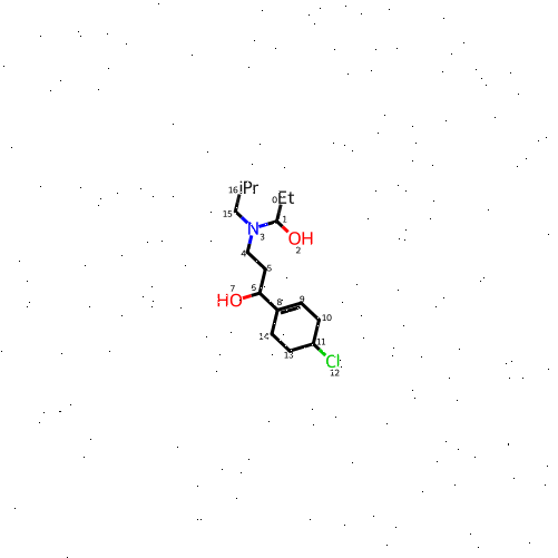 CCC(O)N(CCC(O)C1=CCC(Cl)CC1)CC(C)C